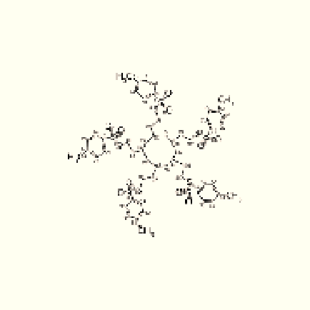 Cc1ccc(S(=O)(=O)SCCC2CC(CCSS(=O)(=O)c3ccc(C)cc3)CC(CCSS(=O)(=O)c3ccc(C)cc3)CC(CCSS(=O)(=O)c3ccc(C)cc3)CC(CCSS(=O)(=O)c3ccc(C)cc3)C2)cc1